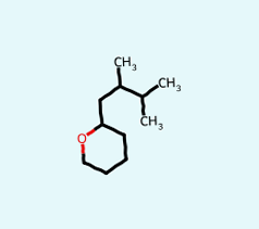 CC(C)C(C)CC1CCCCO1